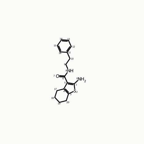 Nc1sc2c(c1C(=O)NCCc1ccccc1)CCCC2